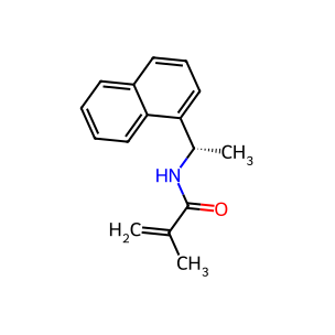 C=C(C)C(=O)N[C@@H](C)c1cccc2ccccc12